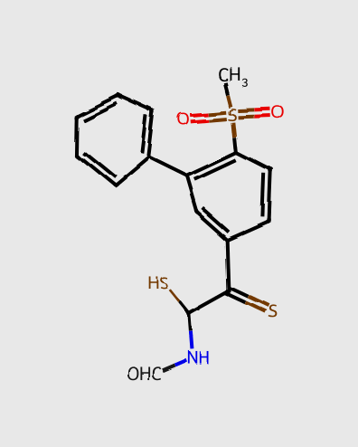 CS(=O)(=O)c1ccc(C(=S)C(S)NC=O)cc1-c1ccccc1